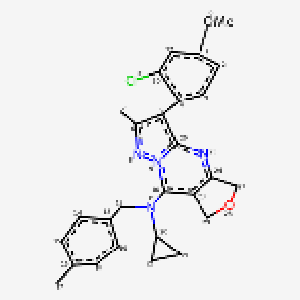 COc1ccc(-c2c(C)nn3c(N(Cc4ccc(C)cc4)C4CC4)c4c(nc23)COC4)c(Cl)c1